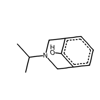 CC(C)N1Cc2cccc(c2O)C1